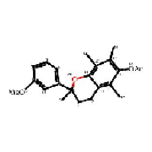 COc1[c]ccc(C2(C)CCc3c(C)c(OC(C)=O)c(C)c(C)c3O2)c1